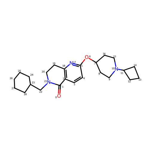 O=C1c2ccc(OC3CCN(C4CCC4)CC3)nc2CCN1CC1CCCCC1